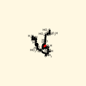 NC(=O)[C@H](CCCCNC(=O)CC[C@H](NC(=O)c1ccc(NCc2cnc3[nH]c(N)nc(=O)c3n2)cc1)C(=O)O)NC(=O)[C@H](CS)NC(=O)[C@H](CC(=O)O)NC(=O)[C@H](CC(=O)O)NC(=O)Cc1ccc(CNC(=O)NCCCC[C@H](NC(=O)N[C@@H](CCC(=O)O)C(=O)O)C(=O)O)cc1